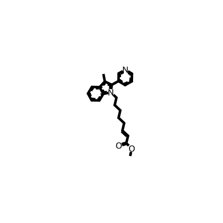 COC(=O)/C=C/CCCCCn1c(-c2cccnc2)c(C)c2ccccc21